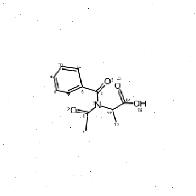 CC(=O)N(C(=O)c1ccccc1)C(C)C(=O)O